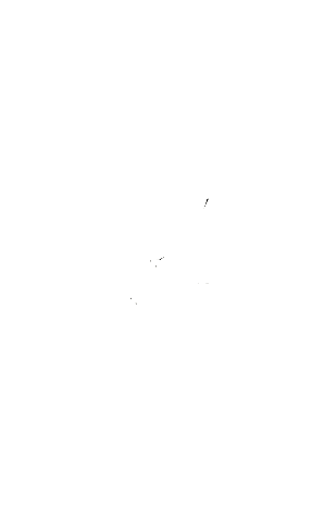 C=CCc1cn([C@H]2O[C@@H](CO)CC2O)c(=O)[nH]c1=O